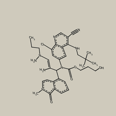 CCCN(N)/C=C(\N)C(c1cccc2c(=O)n(C)ccc12)N(C(=O)OCCCO)c1cc(Cl)c2ncc(C#N)c(NCC(C)(C)C)c2c1